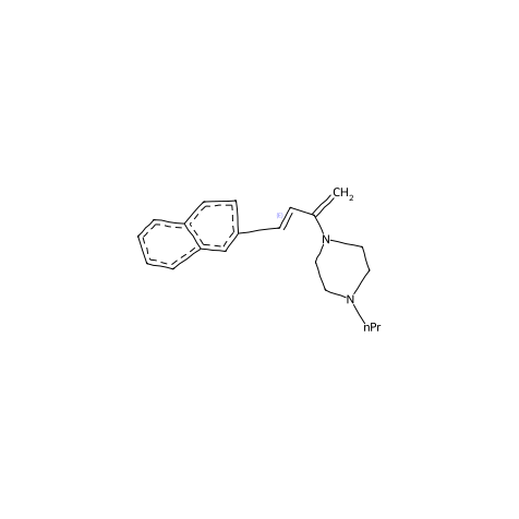 C=C(/C=C/c1ccc2ccccc2c1)N1CCN(CCC)CC1